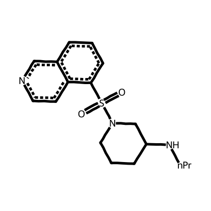 CCCNC1CCCN(S(=O)(=O)c2cccc3cnccc23)C1